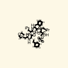 CC(C)CC(NC(=O)[C@H](CCc1ccccc1)NC(=O)CN1CCOCC1)C(=O)N[C@@H](Cc1ccccc1)C(=O)N[C@@H](CC(C)C)C(=O)[C@](C)(O)COS(C)(=O)=O